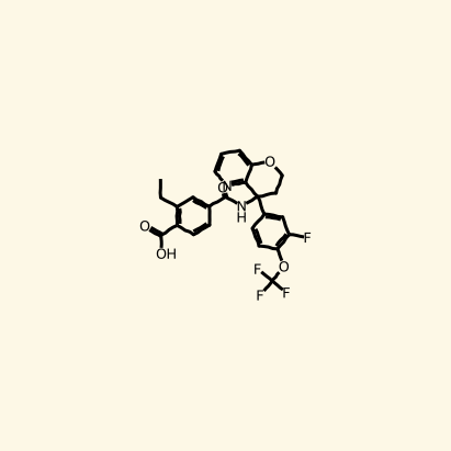 CCc1cc(C(=O)NC2(c3ccc(OC(F)(F)F)c(F)c3)CCOc3cccnc32)ccc1C(=O)O